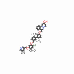 Cc1c(COc2cc(OCc3cncc(C#N)c3)c(C=O)cc2Cl)cccc1-c1cccc(OCC(CN2CCC(O)CC2)c2ccccc2)c1C